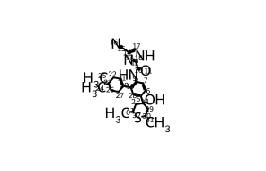 CC1CC(O)(c2ccc(NC(=O)c3nc(C#N)c[nH]3)c(C3=CCC(C)(C)CC3)c2)CC(C)S1